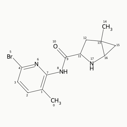 Cc1ccc(Br)nc1NC(=O)C1CC2(C)CC2N1